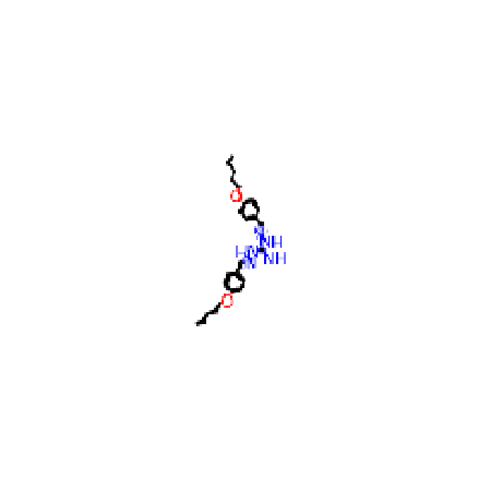 CCCCCOc1ccc(/C=N/NC(=N)N/N=C/c2ccc(OCCCCC)cc2)cc1